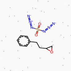 [N-]=[N+]=NS(=O)(=O)N=[N+]=[N-].c1ccc(CCC2CO2)cc1